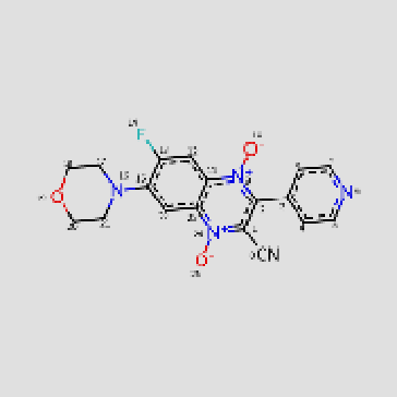 N#Cc1c(-c2ccncc2)[n+]([O-])c2cc(F)c(N3CCOCC3)cc2[n+]1[O-]